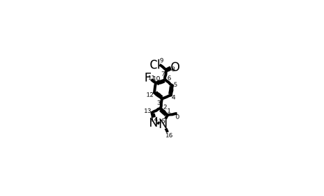 Cc1c(-c2ccc(C(=O)Cl)c(F)c2)cnn1C